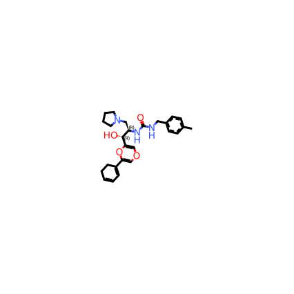 Cc1ccc(CNC(=O)N[C@H](CN2CCCC2)[C@@H](O)C2=COC=C(C3=CC=CCC3)O2)cc1